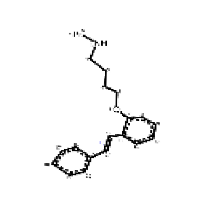 CCCNCCCCOc1ccccc1/C=C/c1ccccc1